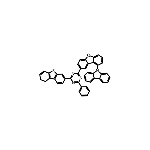 C1=Cc2sc3cc(-c4nc(-c5ccccc5)nc(-c5ccc6oc7cccc(-n8c9ccccc9c9ccccc98)c7c6c5)n4)ccc3c2CC1